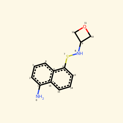 Nc1cccc2c(SNC3COC3)cccc12